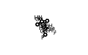 CO[C@@H]1[C@H](N(C)C(=O)c2cccc(F)c2)C[C@H]2O[C@]1(C)n1c3ccccc3c3c4c(c5c6ccccc6n2c5c31)C(=O)NC4